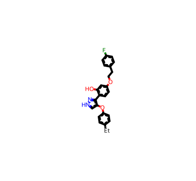 CCc1ccc(Oc2c[nH]nc2-c2ccc(OCCc3ccc(F)cc3)cc2O)cc1